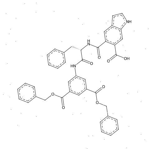 O=C(OCc1ccccc1)c1cc(NC(=O)[C@H](Cc2ccccc2)NC(=O)c2cc3cc[nH]c3cc2C(=O)O)cc(C(=O)OCc2ccccc2)c1